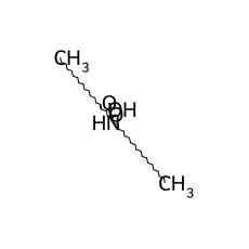 CCCCCCCCCCCCCC/C=C/C(CC(=O)NCCCCCCCCCCCCCCCCCC)C(=O)O